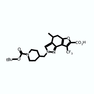 CC1Cc2oc(C(=O)O)c(C(F)(F)F)c2-c2nn(CC3CCN(C(=O)OC(C)(C)C)CC3)cc21